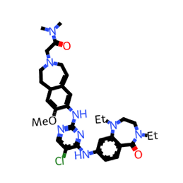 CCN1CCN(CC)c2cc(Nc3nc(NC4=CC5=CCN(CC(=O)N(C)C)CCC5C=C4OC)ncc3Cl)ccc2C1=O